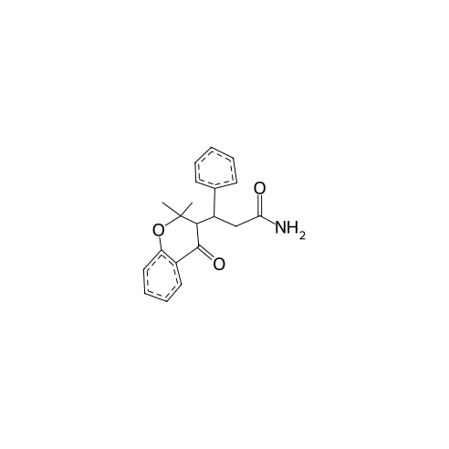 CC1(C)Oc2ccccc2C(=O)C1C(CC(N)=O)c1ccccc1